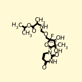 CC(C)OC(=O)C(C)NCOC[C@@]1(F)O[C@@H](n2ccc(=O)[nH]c2=O)[C@](C)(O)[C@@H]1O